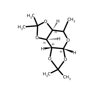 CC1O[C@@H]2OC(C)(C)O[C@@H]2[C@H]2OC(C)(C)O[C@@H]12